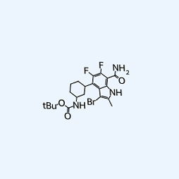 Cc1[nH]c2c(C(N)=O)c(F)c(F)c(C3CCCC(NC(=O)OC(C)(C)C)C3)c2c1Br